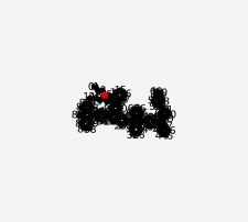 CCCCCCC1(CCCCCC)c2ccccc2-c2ccc(N(Cc3ccc(-c4c5ccccc5c(-c5ccc(N(c6ccccc6)c6cccc(-c7ccc8c(c7)CC8)c6)cc5)c5ccccc45)cc3)c3ccc(-c4c5ccccc5c(C)c5ccccc45)cc3)cc21